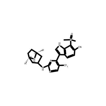 CP(C)(=O)c1c(C#N)ccc2c(-c3nc(NC4C[C@H]5CC[C@@H](C4)N5)ncc3C(F)(F)F)c[nH]c12